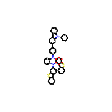 c1ccc(N(c2ccc(-c3ccc4c5ccccc5n(-c5ccccc5)c4c3)cc2)c2ccccc2N(c2ccc3c(c2)sc2ccccc23)c2cccc3sc4ccccc4c23)cc1